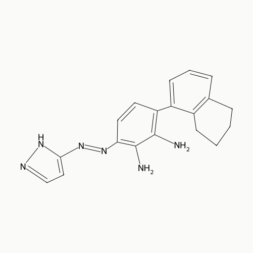 Nc1c(N=Nc2ccn[nH]2)ccc(-c2cccc3c2CCCC3)c1N